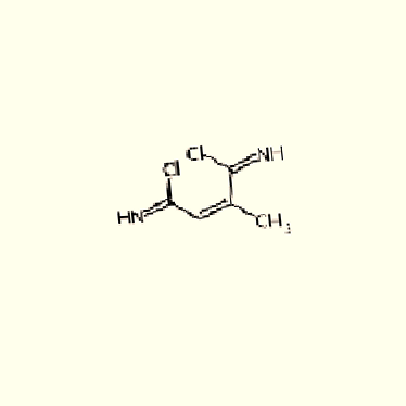 C/C(=C/C(=N)Cl)C(=N)Cl